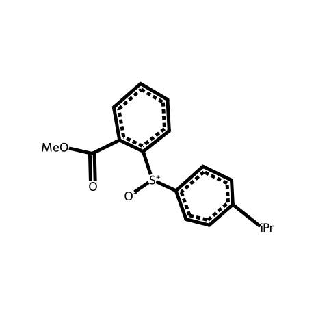 COC(=O)c1ccccc1[S+]([O-])c1ccc(C(C)C)cc1